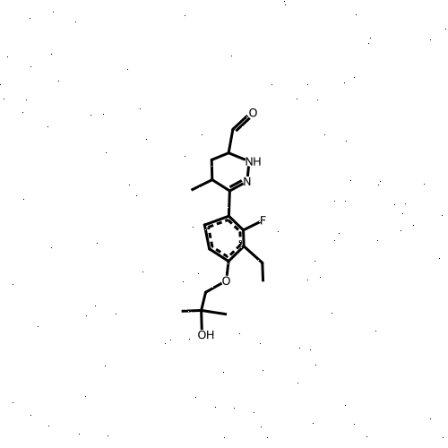 CCc1c(OCC(C)(C)O)ccc(C2=NNC(C=O)CC2C)c1F